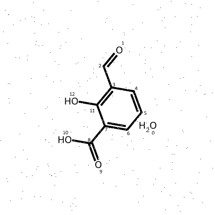 O.O=Cc1cccc(C(=O)O)c1O